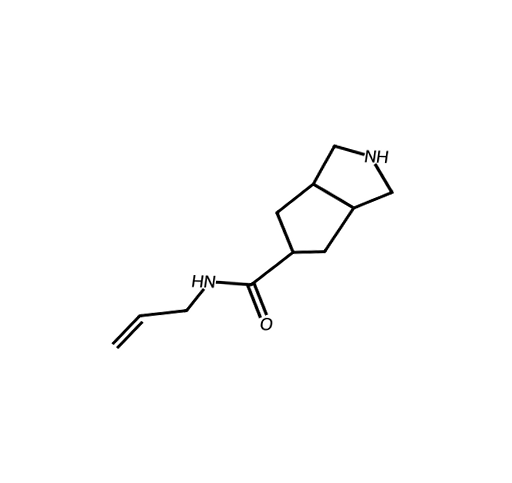 C=CCNC(=O)C1CC2CNCC2C1